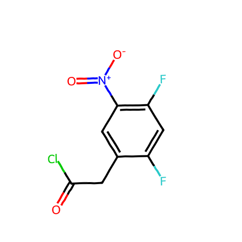 O=C(Cl)Cc1cc([N+](=O)[O-])c(F)cc1F